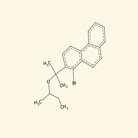 CCC(C)OC(C)(C)c1ccc2c(ccc3ccccc32)c1Br